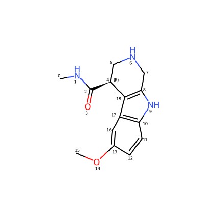 CNC(=O)[C@H]1CNCc2[nH]c3ccc(OC)cc3c21